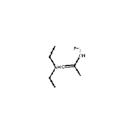 CC(=O)O.CCNCC.P